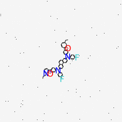 CCC[n+]1cccc2c3ccc(N(c4ccc(F)cc4)c4ccc5c(ccc6cc(N(c7ccc(F)cc7)c7ccc8c9c(oc8c7)CC(CC)=CC=C9)ccc65)c4)cc3oc21